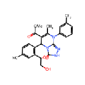 COC(=O)C1=C(C)N(c2cccc(C(F)(F)F)c2)c2n[nH]c(=O)n2C1c1ccc(C#N)cc1[C@H](O)CO